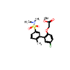 Cc1ccc(S(=O)(=O)N(C)C)cc1-c1cc(Cl)ccc1OCC(=O)OC(C)(C)C